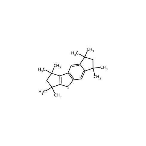 CC1(C)CC(C)(C)c2cc3c4c(sc3cc21)C(C)(C)CC4(C)C